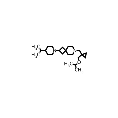 CC(C)OCC1(CN2CCC3(CC2)CC(N2CCC(C(C)C)CC2)C3)CC1